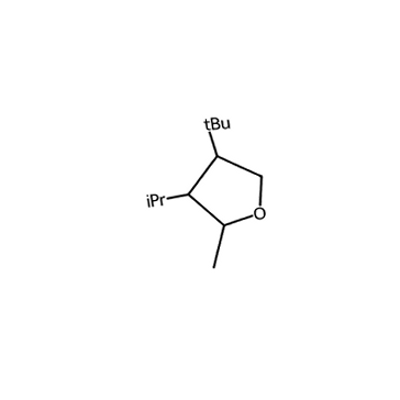 CC(C)C1C(C)OCC1C(C)(C)C